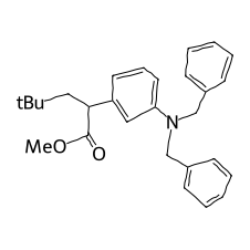 COC(=O)C(CC(C)(C)C)c1cccc(N(Cc2ccccc2)Cc2ccccc2)c1